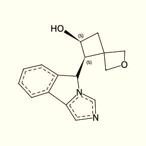 O[C@H]1CC2(COC2)[C@H]1C1c2ccccc2-c2cncn21